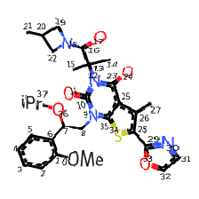 COc1ccccc1[C@H](Cn1c(=O)n(C(C)(C)C(=O)N2CC(C)C2)c(=O)c2c(C)c(-c3ncco3)sc21)OC(C)C